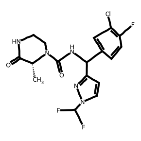 C[C@@H]1C(=O)NCCN1C(=O)NC(c1ccc(F)c(Cl)c1)c1ccn(C(F)F)n1